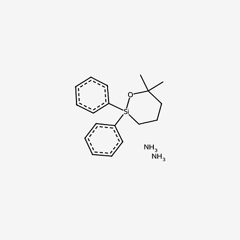 CC1(C)CCC[Si](c2ccccc2)(c2ccccc2)O1.N.N